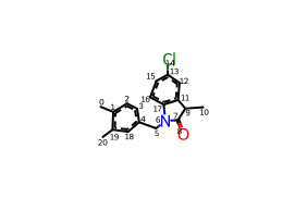 Cc1ccc(CN2C(=O)C(C)c3cc(Cl)ccc32)cc1C